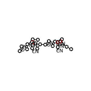 N#Cc1ccc(-n2c3ccccc3c3ccc4c(c5ccccc5n4-c4cccc5c4oc4ccc(-c6ccc(-c7nc(-c8ccccc8-c8ccccc8)nc(-c8cc(C#N)ccc8-n8c9ccccc9c9ccc%10c(c%11ccccc%11n%10-c%10cccc%11c%10oc%10ccccc%10%11)c98)n7)c(-c7ccccc7)c6)cc45)c32)c(-c2nc(-c3ccc(-c4ccccc4)cc3)nc(-c3ccccc3-c3ccccc3)n2)c1